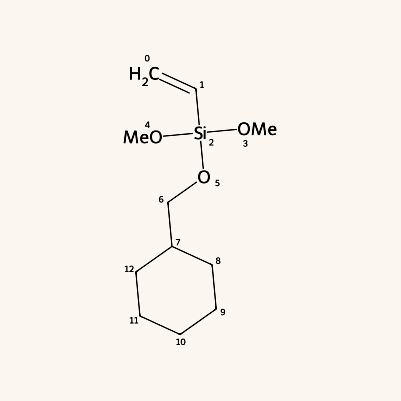 C=C[Si](OC)(OC)OCC1CCCCC1